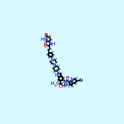 CC(C)(O)c1cc2nn(C3CCC(N4CCN(c5ccc(CCC(=O)NC6CCC(=O)NC6=O)cc5)CC4)CC3)cc2cc1NC(=O)c1ccc2cc(C#N)cnn12